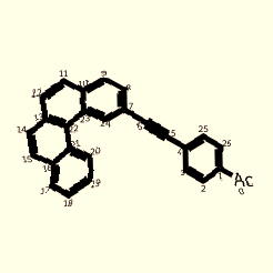 CC(=O)c1ccc(C#Cc2ccc3ccc4ccc5ccccc5c4c3c2)cc1